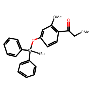 COCC(=O)c1ccc(O[Si](c2ccccc2)(c2ccccc2)C(C)(C)C)cc1OC